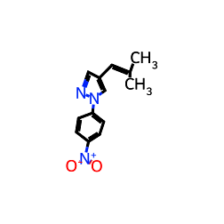 CC(C)=Cc1cnn(-c2ccc([N+](=O)[O-])cc2)c1